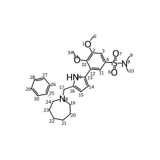 COc1cc(S(=O)(=O)N(C)C)cc(-c2ccc(CN3CCCCC[C@@H]3c3ccccc3)[nH]2)c1OC